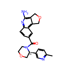 Cc1ccc([C@H]2COCCN2C(=O)c2ccc3nc(N)c4c(c3c2)COC4)cn1